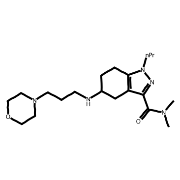 CCCn1nc(C(=O)N(C)C)c2c1CCC(NCCCN1CCOCC1)C2